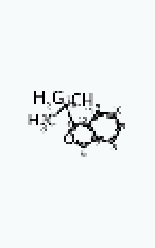 CC(C)(C)c1occ2ccccc12